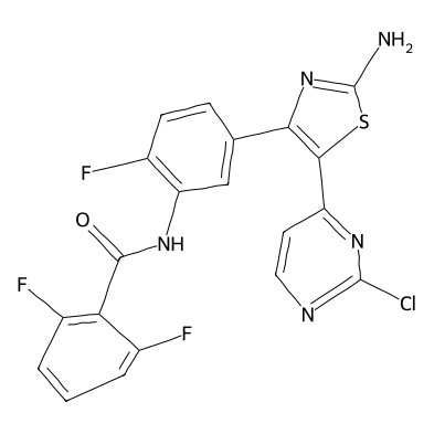 Nc1nc(-c2ccc(F)c(NC(=O)c3c(F)cccc3F)c2)c(-c2ccnc(Cl)n2)s1